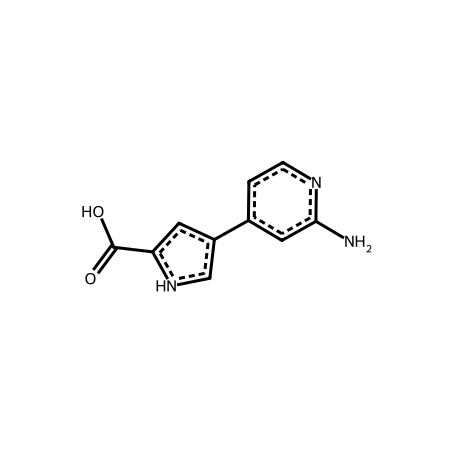 Nc1cc(-c2c[nH]c(C(=O)O)c2)ccn1